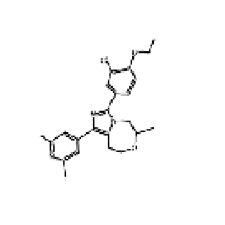 CCOc1ccc(-c2nc(-c3cc(C)nc(C)c3)c3n2CC(C)OCC3)cc1Cl